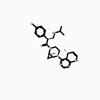 CC(C)NC[C@@H](C(=O)N1CCN(c2ncnc3c2[C@H](C)C=CN3)[C@H]2C[C@H]21)c1ccc(Cl)cc1